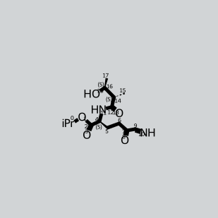 CC(C)OC(=O)[C@H](CCC(=O)C=N)NC(=O)[C@@H](C)[C@H](C)O